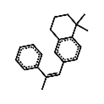 CC(=Cc1ccc2c(c1)CCCC2(C)C)c1ccccc1